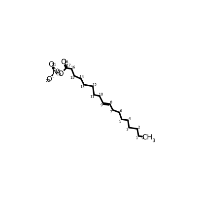 CCCCCCCCC=CCCCCCCCC(=O)O[N+](=O)[O-]